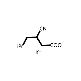 CC(C)CC(C#N)CC(=O)[O-].[K+]